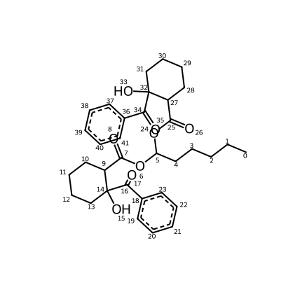 CCCCCC(OC(=O)C1CCCCC1(O)C(=O)c1ccccc1)OC(=O)C1CCCCC1(O)C(=O)c1ccccc1